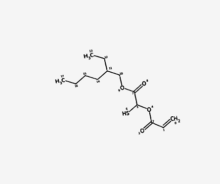 C=CC(=O)OC(S)C(=O)OCC(CC)CCCC